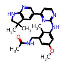 COc1cc(CNC(C)=O)c(C)c(Nc2nccc(-c3cnc4c(c3)C(C)(C)CN4)n2)c1